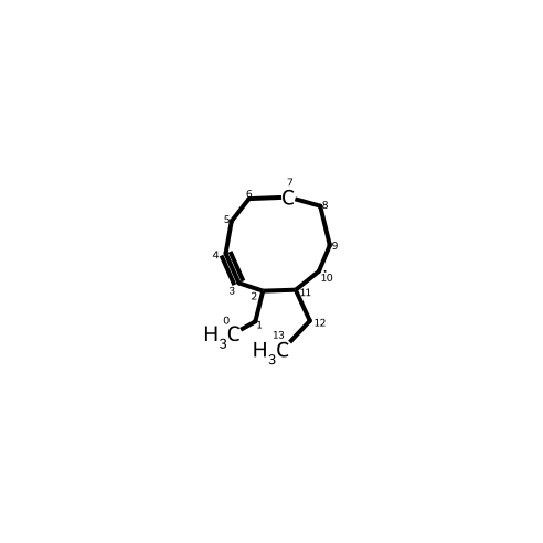 CCC1C#CCCCCC[CH]C1CC